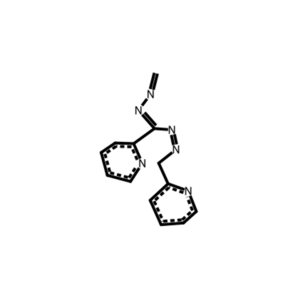 C=N/N=C(\N=N/Cc1ccccn1)c1ccccn1